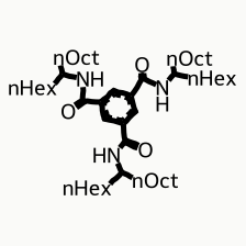 CCCCCCCCC(CCCCCC)NC(=O)c1cc(C(=O)NC(CCCCCC)CCCCCCCC)cc(C(=O)NC(CCCCCC)CCCCCCCC)c1